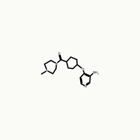 CN1CCN(C(=O)C2CCC(Oc3ccncc3N)CC2)CC1